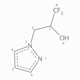 OC(Cn1c[c]cn1)C(F)(F)F